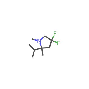 CC(C)C1(C)CC(F)(F)CN1C